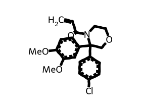 C=CC(=O)N1CCOCC1(c1ccc(Cl)cc1)c1ccc(OC)c(OC)c1